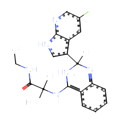 CC(C)(NC1=c2ccccc2=NC(C)(c2c[nH]c3ncc(F)cc23)N1)C(=O)NCC(F)(F)F